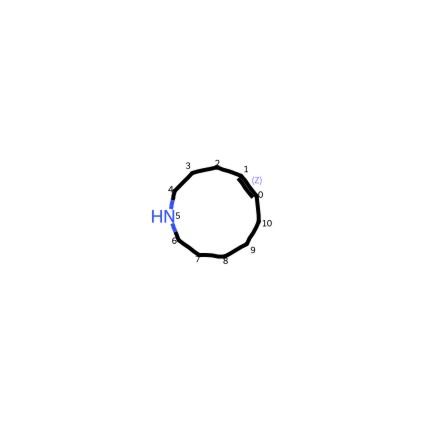 C1=C\CCCNCCCCC/1